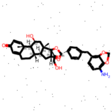 C[C@]12C=CC(=O)C=C1CC[C@@H]1[C@@H]2[C@@H](O)C[C@@]2(C)[C@H]1C[C@H]1O[C@@H](c3ccc(Cc4ccc(N)c5c4OCO5)cc3)O[C@]12C(=O)CO